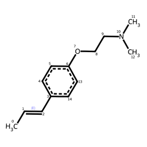 C/C=C/c1ccc(OCCN(C)C)cc1